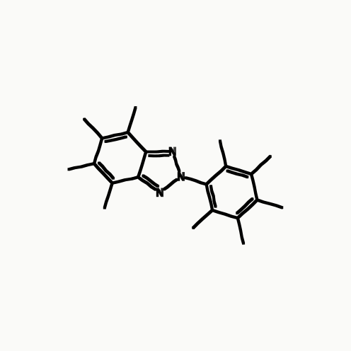 Cc1c(C)c(C)c(-n2nc3c(C)c(C)c(C)c(C)c3n2)c(C)c1C